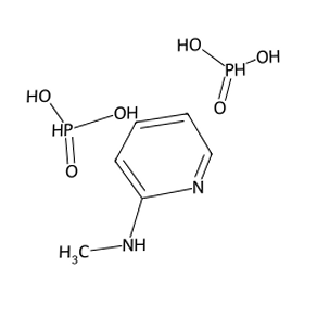 CNc1ccccn1.O=[PH](O)O.O=[PH](O)O